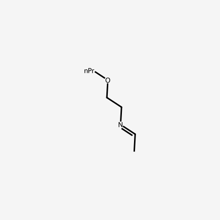 CC=NCCOCCC